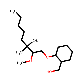 CCCCCC(C)(C)C(COC1CCCCC1CO)OC